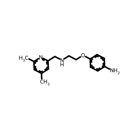 Cc1cc(C)nc(CNCCOc2ccc(N)cc2)c1